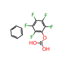 OB(O)Oc1c(F)c(F)c(F)c(F)c1F.c1ccccc1